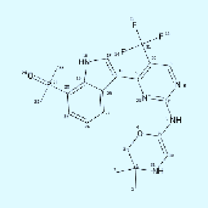 CC1(C)COC(Nc2ncc(C(F)(F)F)c(-c3c[nH]c4c(P(C)(C)=O)cccc34)n2)=CN1